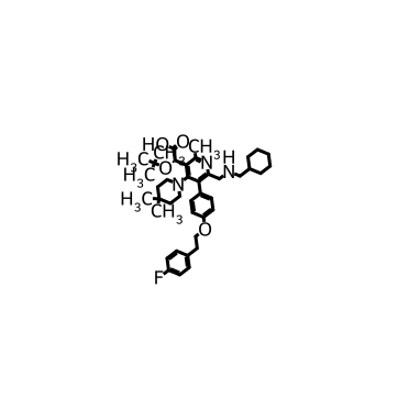 Cc1nc(CNCC2CCCCC2)c(-c2ccc(OCCc3ccc(F)cc3)cc2)c(N2CCC(C)(C)CC2)c1[C@H](OC(C)(C)C)C(=O)O